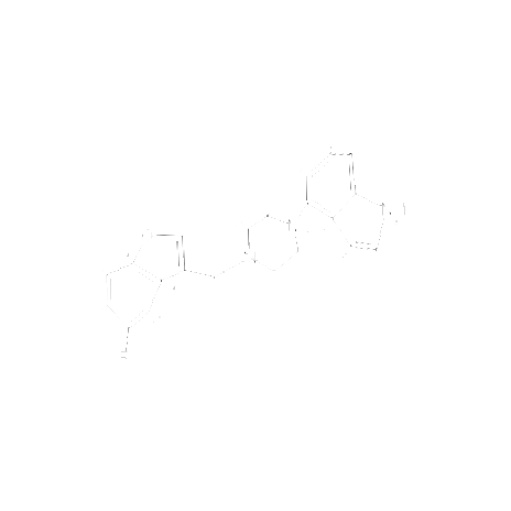 Fc1ccc2occ(CN3CCN(c4cccc5[nH]ccc45)CC3)c2c1